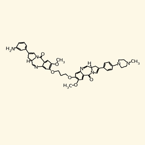 COc1cc2c(cc1OCCCOc1cc3c(cc1OC)C(=O)N1C=C(c4cccc(N)c4)C[C@H]1C=N3)N=C[C@@H]1CC(c3ccc(N4CCN(C)CC4)cc3)=CN1C2=O